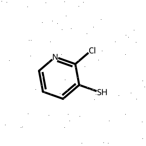 Sc1cccnc1Cl